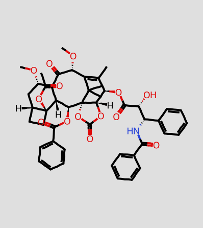 CO[C@H]1C(=O)C2[C@@H](OC)C[C@H]3CC[C@@]3(OC(C)=O)[C@H]2[C@H](OC(=O)c2ccccc2)[C@]23OC(=O)O[C@H]2[C@H](OC(=O)[C@H](O)[C@@H](NC(=O)c2ccccc2)c2ccccc2)C(C)=C1C3(C)C